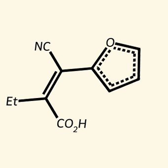 CC/C(C(=O)O)=C(\C#N)c1ccco1